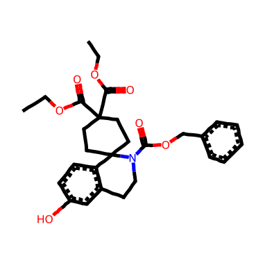 CCOC(=O)C1(C(=O)OCC)CCC2(CC1)c1ccc(O)cc1CCN2C(=O)OCc1ccccc1